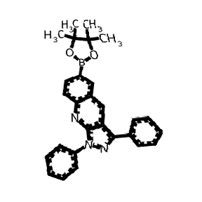 CC1(C)OB(c2ccc3nc4c(cc3c2)c(-c2ccccc2)nn4-c2ccccc2)OC1(C)C